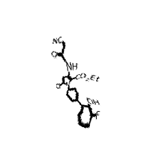 CCOC(=O)c1c(NC(=O)CC#N)cc(Cl)n1-c1ccc(-c2cccc(F)c2O)cc1